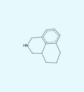 c1cc2c3c(c1)CNCC3CCC2